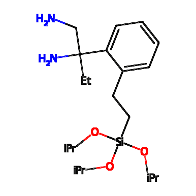 CCC(N)(CN)c1ccccc1CC[Si](OC(C)C)(OC(C)C)OC(C)C